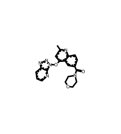 Cc1cc(On2nnc3cccnc32)c2cc(C(=O)N3CCOCC3)ccc2n1